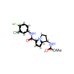 COC(=O)NC1CCn2c(C(=O)Nc3ccc(F)c(Cl)c3)ccc21